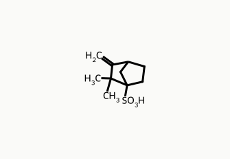 C=C1C2CCC(S(=O)(=O)O)(C2)C1(C)C